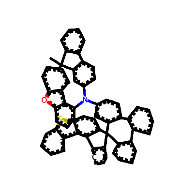 CC1(C)c2ccccc2-c2ccc(N(c3ccc4c(c3)C3(c5ccccc5-c5ccccc5-4)c4ccccc4-c4c3ccc3sc5ccccc5c43)c3cccc4oc5ccccc5c34)cc21